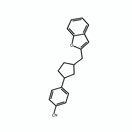 N#Cc1ccc(C2CC[C](Cc3cc4ccccc4o3)C2)cc1